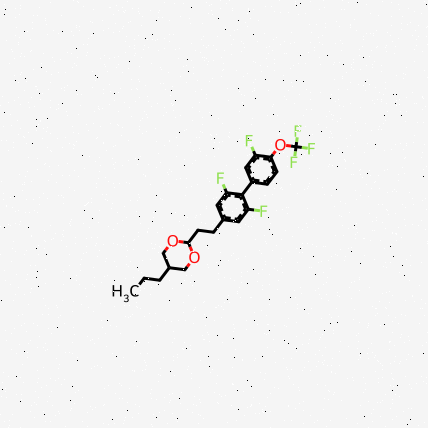 CCCC1COC(CCc2cc(F)c(-c3ccc(OC(F)(F)F)c(F)c3)c(F)c2)OC1